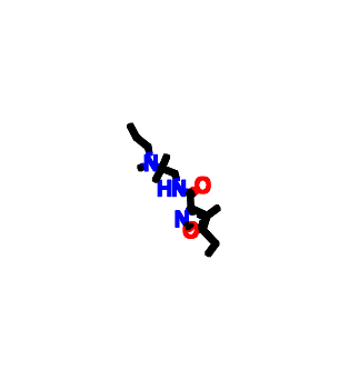 CCCN(C)C(C)(C)CNC(=O)c1noc(CC)c1C